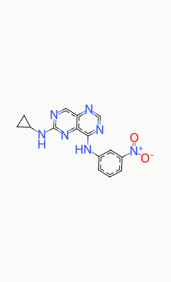 O=[N+]([O-])c1cccc(Nc2ncnc3cnc(NC4CC4)nc23)c1